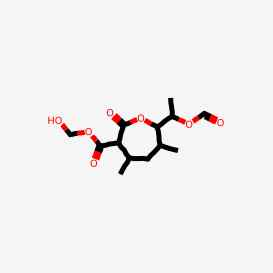 CC1CC(C)C(C(C)OC=O)OC(=O)C1C(=O)OCO